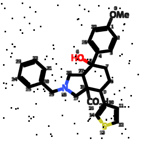 COc1ccc(C2(O)CCC(c3ccsc3)C3(C(=O)O)CN(Cc4ccccc4)CC23)cc1